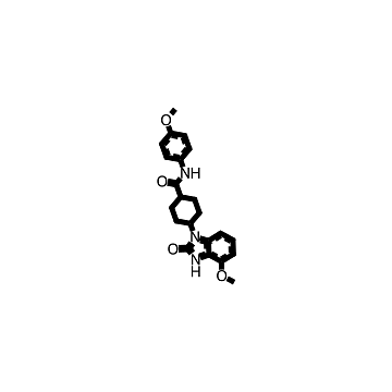 COc1ccc(NC(=O)C2CCC(n3c(=O)[nH]c4c(OC)cccc43)CC2)cc1